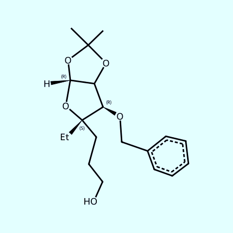 CC[C@@]1(CCCO)O[C@@H]2OC(C)(C)OC2[C@H]1OCc1ccccc1